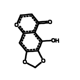 O=c1ccoc2cc3c(c(O)c12)OCO3